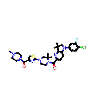 CN1CCN(C(=O)c2csc(N3CCN(C(=O)c4ccc5c(n4)C(C)(C)CN5c4ccc(Cl)c(F)c4)C(C)(C)C3)n2)CC1